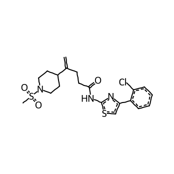 C=C(CCC(=O)Nc1nc(-c2ccccc2Cl)cs1)C1CCN(S(C)(=O)=O)CC1